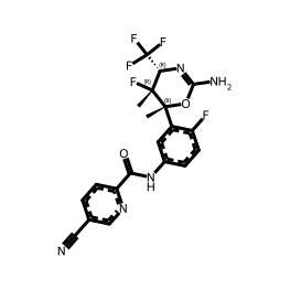 C[C@]1(c2cc(NC(=O)c3ccc(C#N)cn3)ccc2F)OC(N)=N[C@@H](C(F)(F)F)[C@@]1(C)F